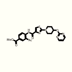 COC(=O)c1ccc(NC(=O)c2csc(N3CCC(Oc4ncccn4)CC3)n2)c(C(C)=O)c1